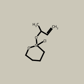 C=CC(C)O[Si]1(Cl)CCCCO1